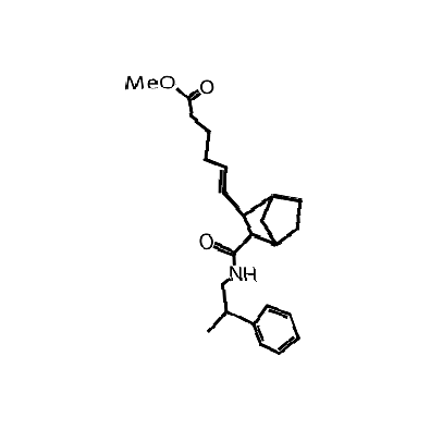 COC(=O)CCCC=CC1C2CCC(C2)C1C(=O)NCC(C)c1ccccc1